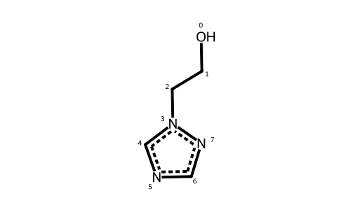 OCCn1[c]ncn1